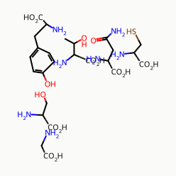 CC(O)C(N)C(=O)O.NC(=O)CC(N)C(=O)O.NC(CO)C(=O)O.NC(CS)C(=O)O.NC(Cc1ccc(O)cc1)C(=O)O.NCC(=O)O